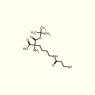 CC(C)(C)OC(=O)[C@](N)(CCCCNC(=O)CCS)C(=O)O